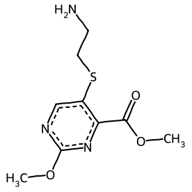 COC(=O)c1nc(OC)ncc1SCCN